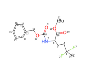 CCC(F)(F)CCC(NC(=O)OCc1ccccc1)C(=O)OC(C)(C)C